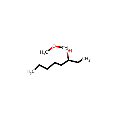 CCCCCC(O)CC.COC